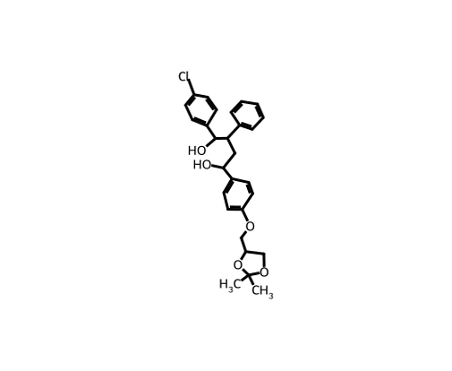 CC1(C)OCC(COc2ccc(C(O)CC(c3ccccc3)C(O)c3ccc(Cl)cc3)cc2)O1